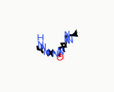 O=C(N1CC2(CC(n3cnc(C4CC4)n3)C2)C1)N1CC2(CN(Cc3cc[nH]n3)C2)C1